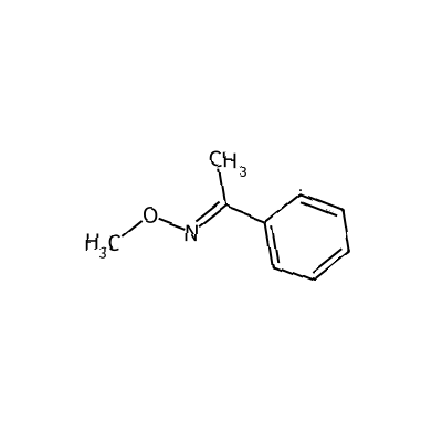 CON=C(C)c1[c]cccc1